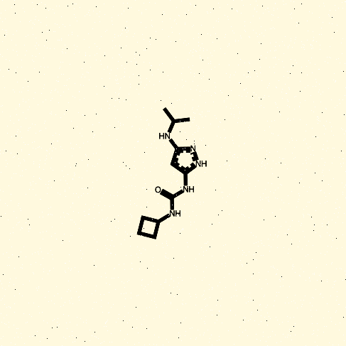 CC(C)Nc1cc(NC(=O)NC2CCC2)[nH]n1